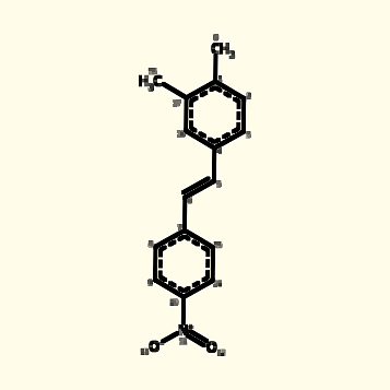 Cc1ccc(C=Cc2ccc([N+](=O)[O-])cc2)cc1C